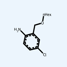 CCCCCCOCc1cc(Cl)ccc1N